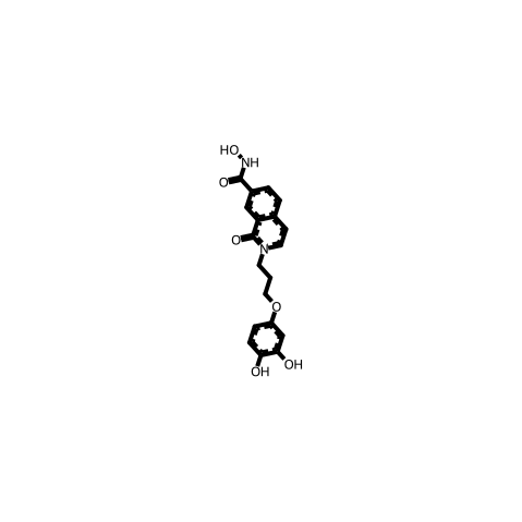 O=C(NO)c1ccc2ccn(CCCOc3ccc(O)c(O)c3)c(=O)c2c1